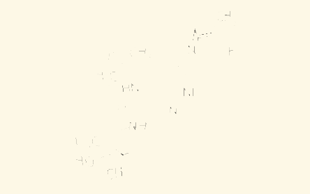 Cc1nn2ccc(Nc3cc(NCC(C)(C)F)c(C(=O)NC[C@@H](F)C(C)(C)O)cn3)cc2c1F